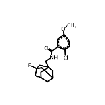 COc1ccc(Cl)c(C(=O)NCC23CC4CC(CC(F)(C4)C2)C3)c1